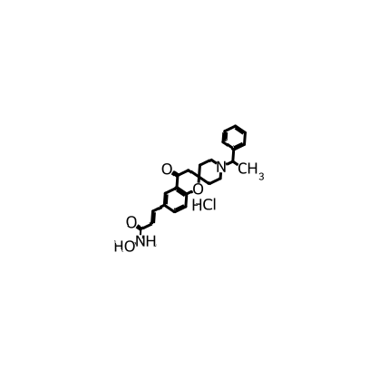 CC(c1ccccc1)N1CCC2(CC1)CC(=O)c1cc(/C=C/C(=O)NO)ccc1O2.Cl